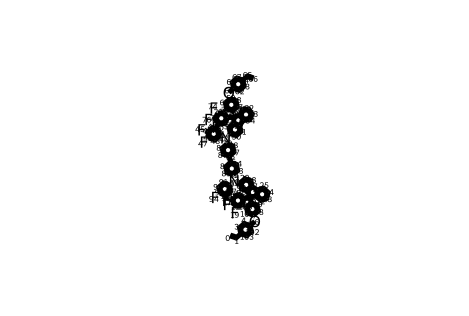 C=Cc1ccc(Oc2ccc(C3(c4cc(F)c(F)c(F)c4)c4ccccc4-c4ccc(N(c5ccc(-c6ccc(N(c7ccc(F)c(F)c7)c7ccc8c(c7)[C@](c7ccc(Oc9ccc(C=C)cc9)cc7)(c7cc(F)c(F)c(F)c7)c7ccccc7-8)cc6)cc5)c5ccc(F)c(F)c5)cc43)cc2)cc1